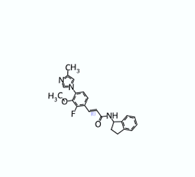 COc1c(-n2cnc(C)c2)ccc(/C=C/C(=O)NC2CCc3ccccc32)c1F